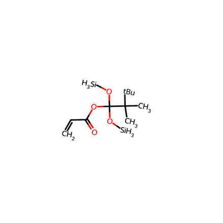 C=CC(=O)OC(O[SiH3])(O[SiH3])C(C)(C)C(C)(C)C